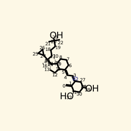 C=C1/C(=C\C=C2CCC[C@@]3(C)C2CC[C@@H]3[C@](C)(CCCC(C)(C)O)C2CC2)C[C@@H](O)CC1O